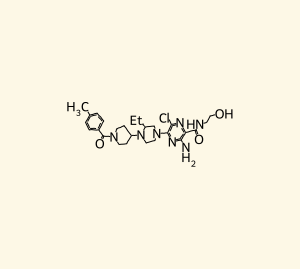 CC[C@H]1CN(c2nc(N)c(C(=O)NCCO)nc2Cl)CCN1C1CCN(C(=O)c2ccc(C)cc2)CC1